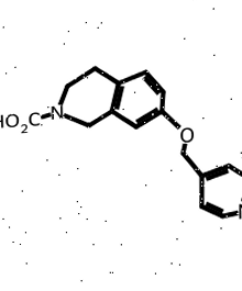 O=C(O)N1CCc2ccc(OCc3ccncc3)cc2C1